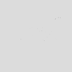 CC(C#N)(CCO)NC(=O)OC(C)(C)C